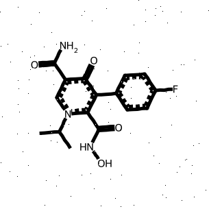 CC(C)n1cc(C(N)=O)c(=O)c(-c2ccc(F)cc2)c1C(=O)NO